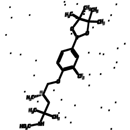 C[C@H](COc1ccc(B2OC(C)(C)C(C)(C)O2)cc1C(F)(F)F)CC(C)(C)NC(=O)O